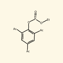 CCO[PH](=O)Oc1c(C(C)=O)cc(C(C)=O)cc1C(C)=O